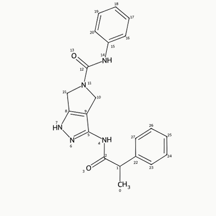 CC(C(=O)Nc1n[nH]c2c1CN(C(=O)Nc1ccccc1)C2)c1ccccc1